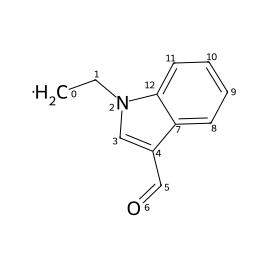 [CH2]Cn1cc(C=O)c2ccccc21